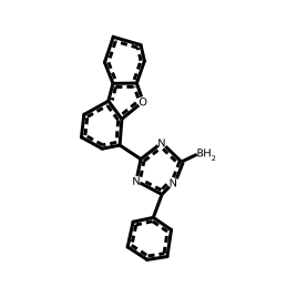 Bc1nc(-c2ccccc2)nc(-c2cccc3c2oc2ccccc23)n1